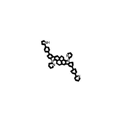 c1ccc(-c2ccc(-c3ccc4c(c3)c3cc5c6c(c3n4-c3ccccn3)CCc3cc4c7cc(-c8ccc(-c9ccc[nH]9)cc8)ccc7n(-c7ccccn7)c4c(c3-6)CC5)cc2)nc1